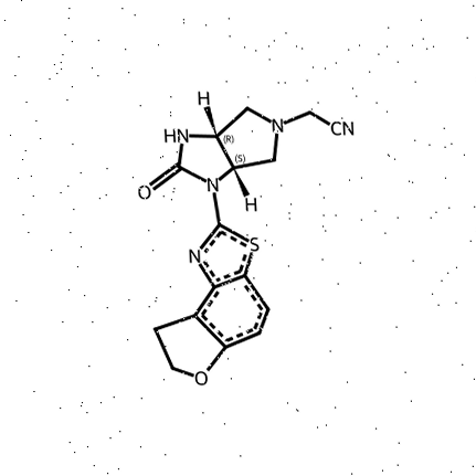 N#CCN1C[C@H]2NC(=O)N(c3nc4c5c(ccc4s3)OCC5)[C@H]2C1